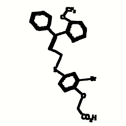 O=C(O)COc1ccc(SC/C=C(/c2ccccc2)c2ccccc2OC(F)(F)F)cc1Br